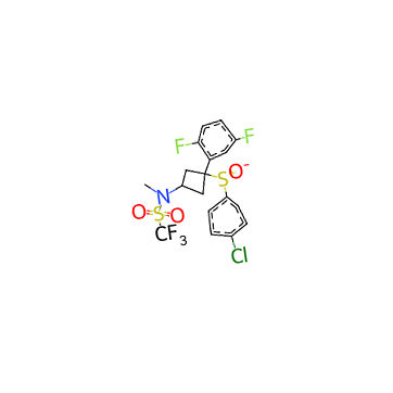 CN(C1CC(c2cc(F)ccc2F)([S+]([O-])c2ccc(Cl)cc2)C1)S(=O)(=O)C(F)(F)F